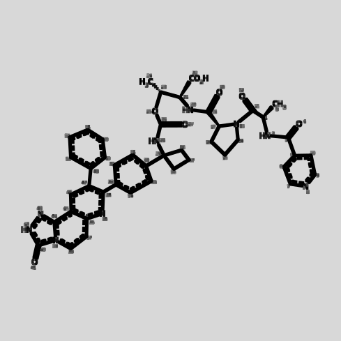 C[C@@H](NC(=O)c1ccncc1)C(=O)N1CCC[C@H]1C(=O)N[C@H](C(=O)O)[C@@H](C)OC(=O)NC1(c2ccc(-c3nc4ccn5c(=O)[nH]nc5c4cc3-c3ccccc3)cc2)CCC1